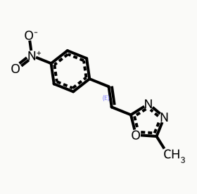 Cc1nnc(/C=C/c2ccc([N+](=O)[O-])cc2)o1